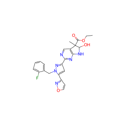 CCOC(=O)C1(C)c2cnc(-c3cc(-c4ccon4)n(Cc4ccccc4F)n3)nc2NC1O